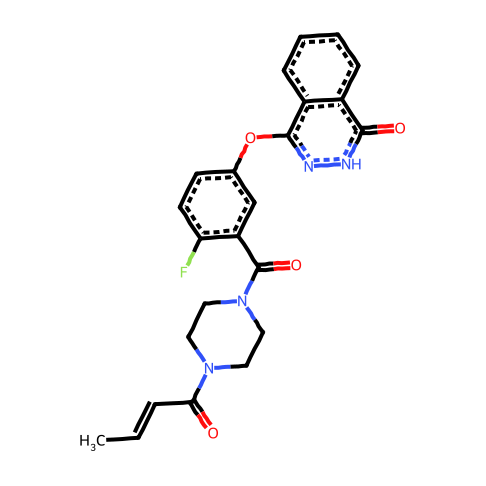 CC=CC(=O)N1CCN(C(=O)c2cc(Oc3n[nH]c(=O)c4ccccc34)ccc2F)CC1